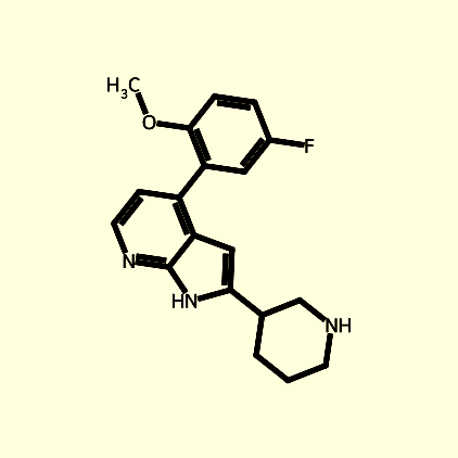 COc1ccc(F)cc1-c1ccnc2[nH]c(C3CCCNC3)cc12